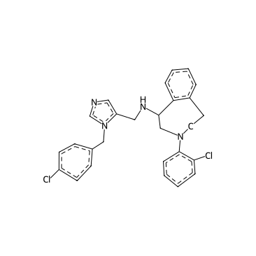 Clc1ccc(Cn2cncc2CNC2CN(c3ccccc3Cl)CCc3ccccc32)cc1